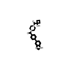 O=C(c1ccc(-c2ccc3[nH]cnc3c2)cc1)N1CCN(C(=O)C2(O)CCC2)CC1